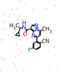 Cc1cc(-c2cc(F)ccc2C#N)nc2c(C(=O)NC(C)C3CC3)cnn12